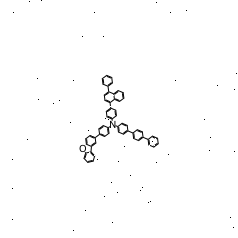 c1ccc(-c2ccc(-c3ccc(N(c4ccc(-c5ccc6oc7ccccc7c6c5)cc4)c4ccc(-c5ccc(-c6ccccc6)c6ccccc56)cc4)cc3)cc2)cc1